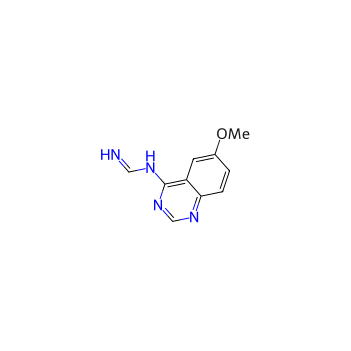 COc1ccc2ncnc(NC=N)c2c1